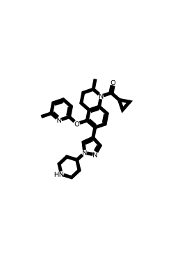 Cc1cccc(Oc2c(-c3cnn(C4CCNCC4)c3)ccc3c2CCC(C)N3C(=O)C2CC2)n1